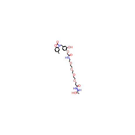 CB(O)NNC(=O)CCOCCOCCOCCOCCNC(=O)COc1ccc(Cn2c(=O)oc3ccc(C)cc32)cc1O